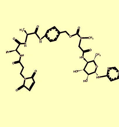 CC(C)[C@H](NC(=O)CCN1C(=O)C=CC1=O)C(=O)N[C@@H](C)C(=O)Nc1ccc(COC(=O)N(C)CC(=O)N[C@@H]2[C@@H](O)[C@@H](O)[C@@H](Nc3ccncn3)O[C@H]2C)cc1